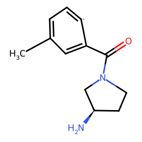 Cc1cc[c]c(C(=O)N2CC[C@@H](N)C2)c1